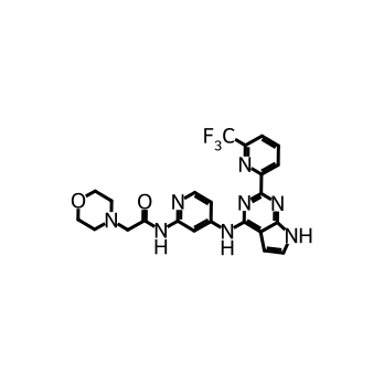 O=C(CN1CCOCC1)Nc1cc(Nc2nc(-c3cccc(C(F)(F)F)n3)nc3[nH]ccc23)ccn1